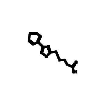 O=C(O)CCSCc1nc(-c2ccccc2)no1